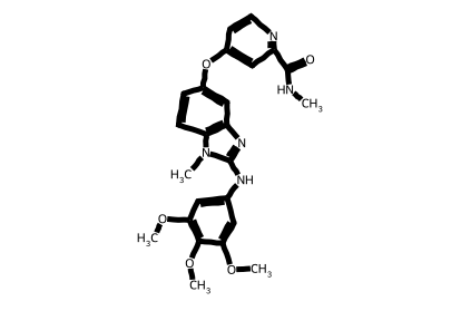 CNC(=O)c1cc(Oc2ccc3c(c2)nc(Nc2cc(OC)c(OC)c(OC)c2)n3C)ccn1